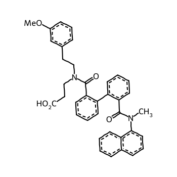 COc1cccc(CCN(CCC(=O)O)C(=O)c2ccccc2-c2ccccc2C(=O)N(C)c2cccc3ccccc23)c1